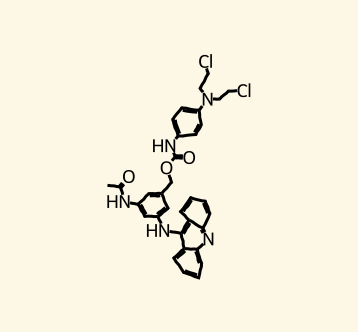 CC(=O)Nc1cc(COC(=O)Nc2ccc(N(CCCl)CCCl)cc2)cc(Nc2c3ccccc3nc3ccccc23)c1